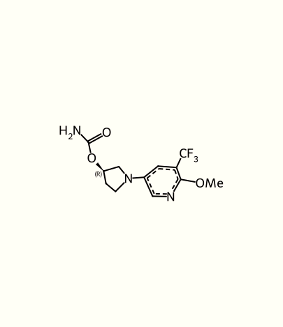 COc1ncc(N2CC[C@@H](OC(N)=O)C2)cc1C(F)(F)F